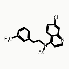 CC(=O)N(CCc1cccc(C(F)(F)F)c1)c1ccnc2cc(Cl)ccc12